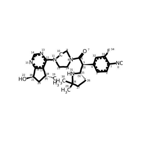 [C-]#[N+]c1ccc([C@H](C(=O)N2CCN(c3ncnc4c3[C@H](C)C[C@H]4O)CC2)[C@@H]2CCC(C)(C)N2)cc1F